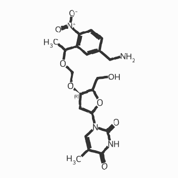 Cc1cn(C2C[C@@H](OCOC(C)c3cc(CN)ccc3[N+](=O)[O-])C(CO)O2)c(=O)[nH]c1=O